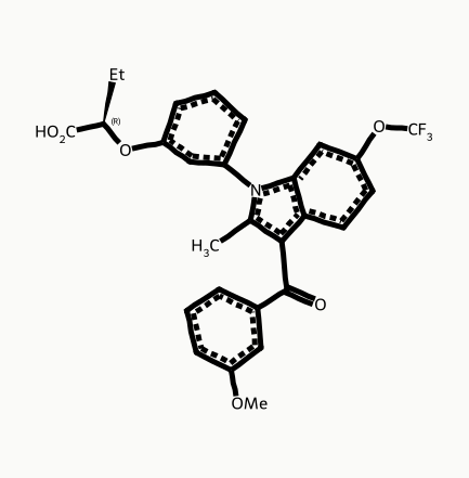 CC[C@@H](Oc1cccc(-n2c(C)c(C(=O)c3cccc(OC)c3)c3ccc(OC(F)(F)F)cc32)c1)C(=O)O